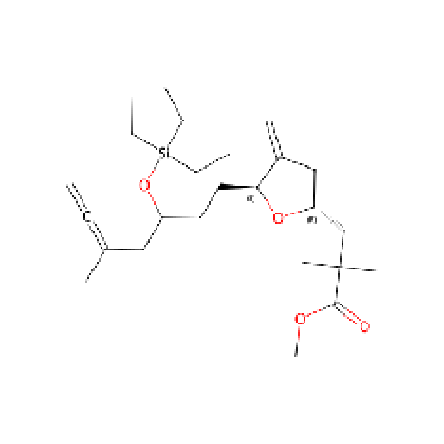 C=C=C(C)CC(CC[C@@H]1O[C@@H](CC(C)(C)C(=O)OC)CC1=C)O[Si](CC)(CC)CC